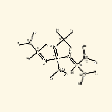 CN(C)P(C)(C)=NP(=NC(C)(C)C)(N=P(C)(N(C)C)N(C)C)N(C)C